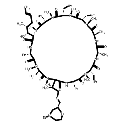 C/C=C/C[C@@H](C)[C@@H](O)[C@H]1C(=O)N[C@@H](CC)C(=O)N(C)[C@H](C)C(=O)N(C)C([C@H](C)COC[C@@H]2CN(CC)CCO2)C(=O)N[C@@H](C(C)C)C(=O)N(C)[C@@H](CC(C)C)C(=O)N[C@@H](C)C(=O)N[C@H](C)C(=O)N(C)[C@@H](CC(C)C)C(=O)N(C)[C@@H](CC(C)C)C(=O)N(C)[C@@H](C(C)C)C(=O)N1C